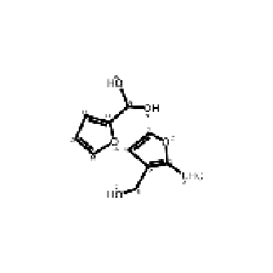 O=Cc1occc1CO.OC(O)c1ccco1